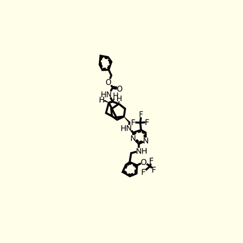 O=C(N[C@@H]1[C@@H]2CC3C[C@H]1C[C@@](CNc1nc(NCc4ccccc4OC(F)(F)F)ncc1C(F)(F)F)(C3)C2)OCc1ccccc1